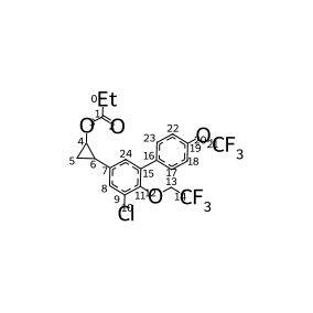 CCC(=O)OC1CC1c1cc(Cl)c(OCC(F)(F)F)c(-c2ccc(OC(F)(F)F)cc2)c1